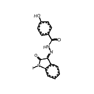 O=C(NN=C1C(=O)N(I)c2ccccc21)c1ccc(O)cc1